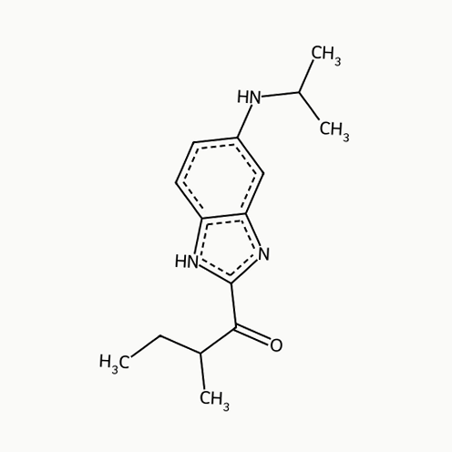 CCC(C)C(=O)c1nc2cc(NC(C)C)ccc2[nH]1